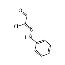 O=CC(Cl)=NNc1ccccc1